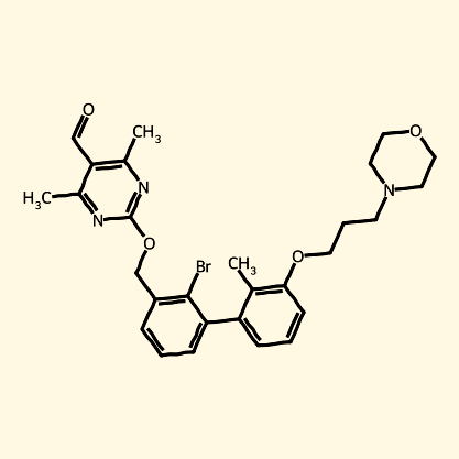 Cc1nc(OCc2cccc(-c3cccc(OCCCN4CCOCC4)c3C)c2Br)nc(C)c1C=O